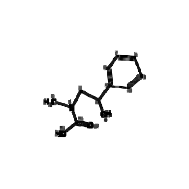 CN(CC(O)c1ccccc1)C(=O)O